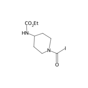 CCOC(=O)NC1CCN(C(=O)I)CC1